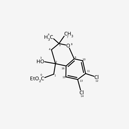 CCOC(=O)CC1(O)CC(C)(C)Oc2cc(Cl)c(Cl)cc21